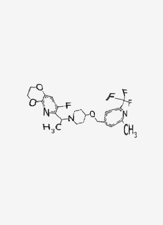 Cc1cc(COC2CCN(C(C)c3nc4c(cc3F)OCCO4)CC2)cc(C(F)(F)F)n1